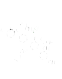 Cc1ccc(-c2cc3c(cc2C(C)(C)C)-c2cc(C(C)(C)C)c(-c4ccc(C)cc4)cc2[CH]3[Zr+2][C]2=CC=CC2)cc1.[Cl-].[Cl-]